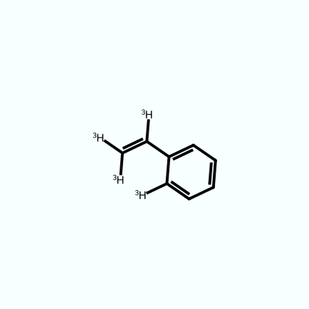 [3H]C([3H])=C([3H])c1ccccc1[3H]